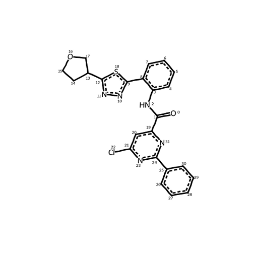 O=C(Nc1ccccc1-c1nnc(C2CCOC2)s1)c1cc(Cl)nc(-c2ccccc2)n1